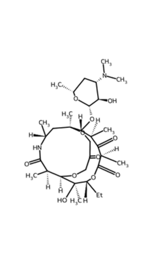 CC[C@H]1OC(=O)[C@H](C)C(=O)[C@H](C)[C@@H](O[C@@H]2O[C@H](C)C[C@H](N(C)C)[C@H]2O)[C@@]2(C)C[C@@H](C)NC(=O)[C@H](C)[C@@H](OCC(=O)CO2)[C@]1(C)O